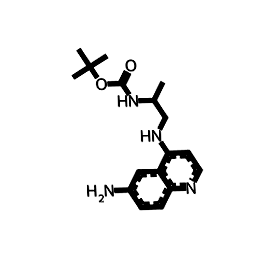 CC(CNc1ccnc2ccc(N)cc12)NC(=O)OC(C)(C)C